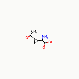 CC(=O)C1CC1C(N)C(=O)O